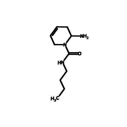 CCCCNC(=O)N1CC=CCC1N